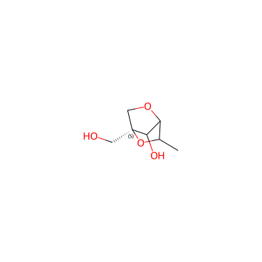 CC1O[C@@]2(CO)COC1C2O